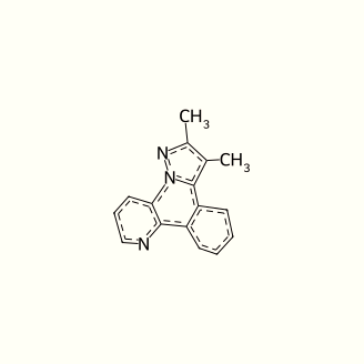 Cc1nn2c3cccnc3c3ccccc3c2c1C